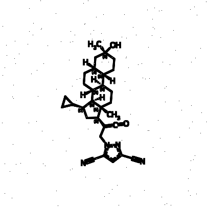 C[C@@]1(O)CC[C@H]2[C@H](CC[C@@H]3[C@@H]2CC[C@@]2(C)[C@H]3[C@H](C3CC3)C[C@@H]2C(=C=O)Cn2nc(C#N)cc2C#N)C1